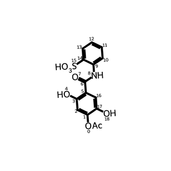 CC(=O)Oc1cc(O)c(C(=O)Nc2ccccc2S(=O)(=O)O)cc1O